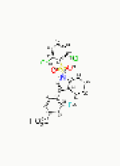 O=C(O)c1ccc(-c2cn(S(=O)(=O)c3c(Cl)cccc3Cl)c3c2CCCC3)c(F)c1